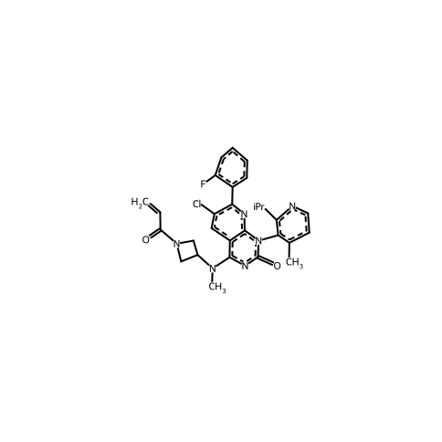 C=CC(=O)N1CC(N(C)c2nc(=O)n(-c3c(C)ccnc3C(C)C)c3nc(-c4ccccc4F)c(Cl)cc23)C1